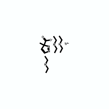 CC1(C(=O)[O-])C=CN=N1.CC[N-]CC.CC[N-]CC.CC[N-]CC.[Ti+4]